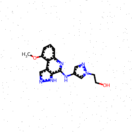 COc1cccc2nc(Nc3cnn(CCO)c3)c3[nH]ncc3c12